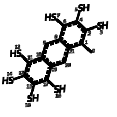 Cc1c(S)c(S)c(S)c2cc3c(S)c(S)c(S)c(S)c3cc12